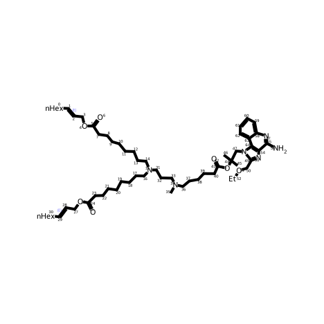 CCCCCC/C=C/COC(=O)CCCCCCCCN(CCCCCCCCC(=O)OC/C=C/CCCCCC)CCCN(C)CCCCCC(=O)OC(C)(C)Cn1c(COCC)nc2c(N)nc3ccccc3c21